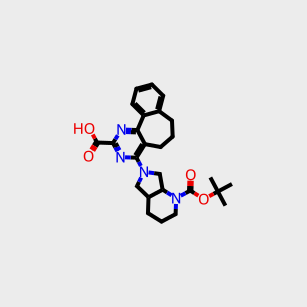 CC(C)(C)OC(=O)N1CCCC2CN(c3nc(C(=O)O)nc4c3CCCc3ccccc3-4)CC21